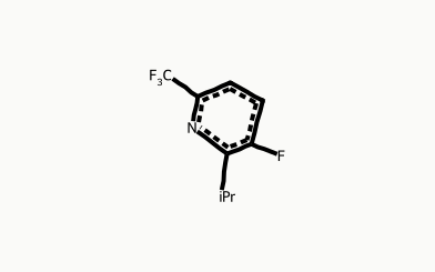 CC(C)c1nc(C(F)(F)F)ccc1F